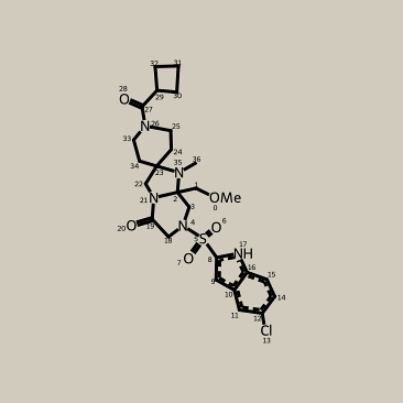 COCC12CN(S(=O)(=O)c3cc4cc(Cl)ccc4[nH]3)CC(=O)N1CC1(CCN(C(=O)C3CCC3)CC1)N2C